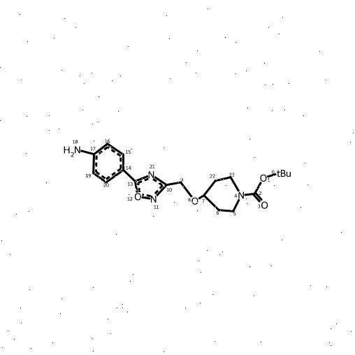 CC(C)(C)OC(=O)N1CCC(OCc2noc(-c3ccc(N)cc3)n2)CC1